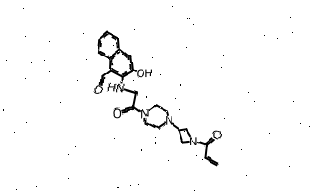 C=CC(=O)N1CC(N2CCN(C(=O)CNc3c(O)cc4ccccc4c3C=O)CC2)C1